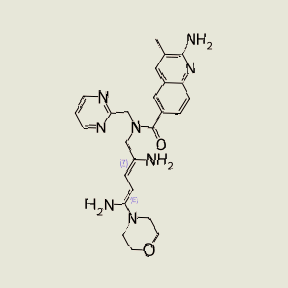 Cc1cc2cc(C(=O)N(C/C(N)=C/C=C(\N)N3CCOCC3)Cc3ncccn3)ccc2nc1N